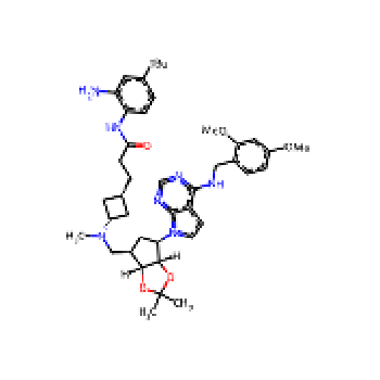 COc1ccc(CNc2ncnc3c2ccn3[C@@H]2C[C@H](CN(C)[C@H]3C[C@H](CCC(=O)Nc4ccc(C(C)(C)C)cc4N)C3)[C@H]3OC(C)(C)O[C@H]32)c(OC)c1